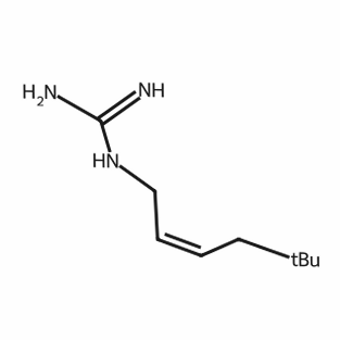 CC(C)(C)C/C=C\CNC(=N)N